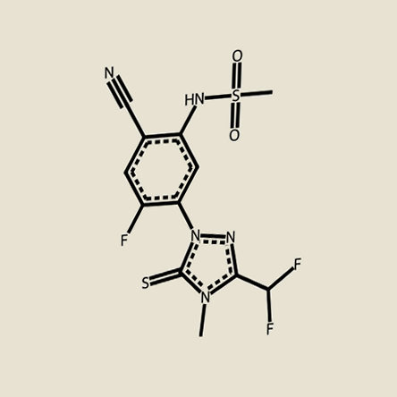 Cn1c(C(F)F)nn(-c2cc(NS(C)(=O)=O)c(C#N)cc2F)c1=S